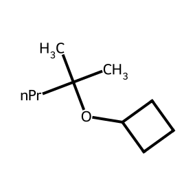 [CH2]CCC(C)(C)OC1CCC1